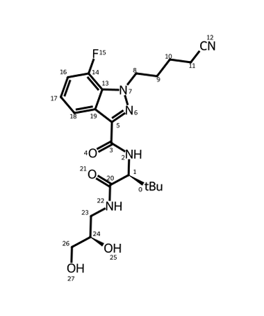 CC(C)(C)[C@H](NC(=O)c1nn(CCCCC#N)c2c(F)cccc12)C(=O)NC[C@@H](O)CO